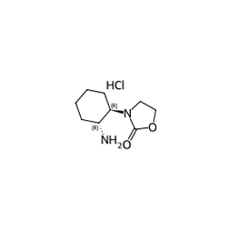 Cl.N[C@@H]1CCCC[C@H]1N1CCOC1=O